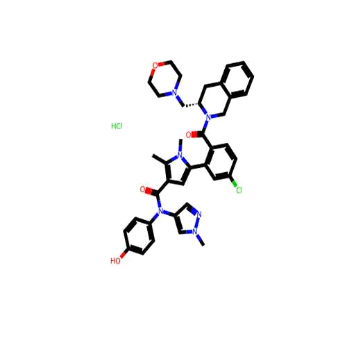 Cc1c(C(=O)N(c2ccc(O)cc2)c2cnn(C)c2)cc(-c2cc(Cl)ccc2C(=O)N2Cc3ccccc3C[C@H]2CN2CCOCC2)n1C.Cl